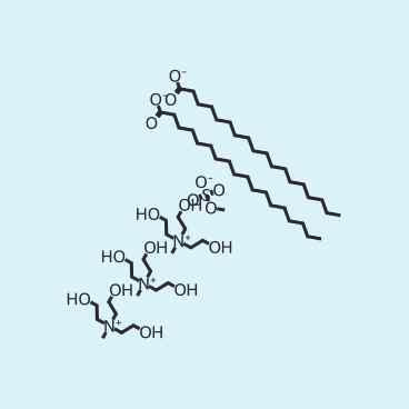 CCCCCCCCCCCCCCCCCC(=O)[O-].CCCCCCCCCCCCCCCCCC(=O)[O-].COS(=O)(=O)[O-].C[N+](CCO)(CCO)CCO.C[N+](CCO)(CCO)CCO.C[N+](CCO)(CCO)CCO